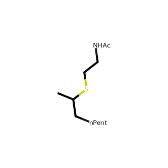 CCCCCCC(C)SCCNC(C)=O